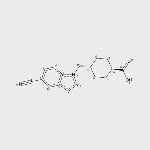 N#Cc1ccc2c(cnn2C[C@H]2CC[C@H](C(=O)O)CC2)c1